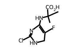 CC(C)(NC1=C(F)CNC(Cl)=N1)C(=O)O